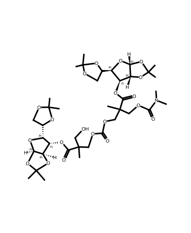 CN(C)C(=O)OCC(C)(COC(=O)OCC(C)(CO)C(=O)O[C@@H]1[C@H]2OC(C)(C)O[C@H]2O[C@@H]1C1COC(C)(C)O1)C(=O)O[C@@H]1[C@H]2OC(C)(C)O[C@H]2O[C@@H]1C1COC(C)(C)O1